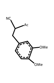 COc1ccc(CC(C#N)C(C)=O)cc1OC